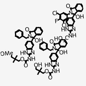 CC(C)(CO)COC(=O)Nc1nc2cc(C3(O)c4ccccc4C(=O)N3Cc3ccccc3)ccc2[nH]1.COCC(C)(C)COC(=O)Nc1nc2cc(C3(O)c4ccccc4C(=O)N3Cc3ccccc3)ccc2[nH]1.O=C(O)Nc1nc2cc(C3(O)c4ccccc4C(=O)N3c3cc(Cl)c(F)c(Cl)c3)ccc2[nH]1